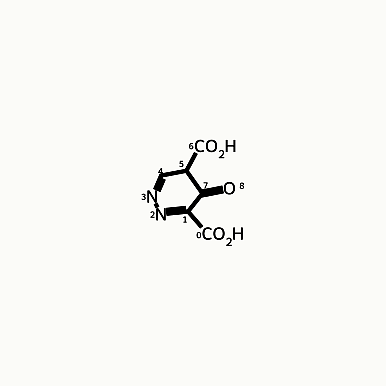 O=C(O)C1=NN=CC(C(=O)O)C1=O